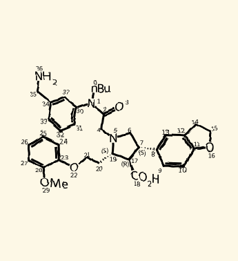 CCCCN(C(=O)CN1C[C@H](c2ccc3c(c2)CCO3)[C@@H](C(=O)O)[C@@H]1CCOc1ccccc1OC)c1cccc(CN)c1